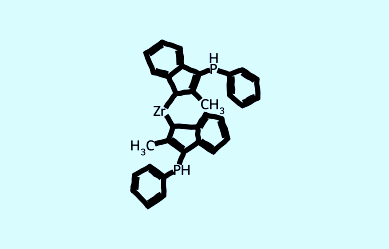 CC1=C(Pc2ccccc2)c2ccccc2[CH]1[Zr][CH]1C(C)=C(Pc2ccccc2)c2ccccc21